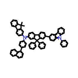 CC1(C)c2ccccc2-c2ccc(N(c3ccc(-c4cccc5ccccc45)cc3)c3ccc4c(c3)C(c3ccccc3)(c3ccccc3)c3cc(-c5ccc6c(c5)c5ccccc5n6-c5ccccc5)ccc3-4)cc21